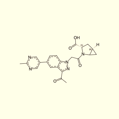 CC(=O)c1nn(CC(=O)N2C3C[C@@H]3C[C@H]2C(=O)O)c2ccc(-c3cnc(C)nc3)cc12